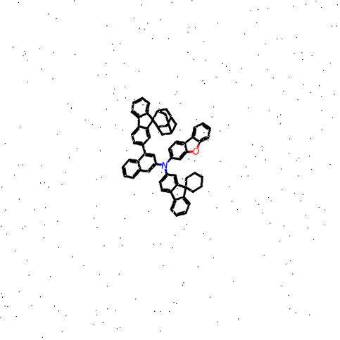 c1ccc2c(c1)-c1ccc(N(c3cc(-c4ccc5c(c4)C4(c6ccccc6-5)C5CC6CC(C5)CC4C6)c4ccccc4c3)c3ccc4c(c3)oc3ccccc34)cc1C21CCCCC1